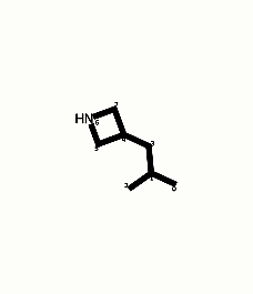 CC(C)CC1CNC1